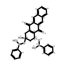 CC(=O)[C@@]1(OB(O)c2ccccc2)CC2=C(C(=O)c3cc4ccccc4cc3C2=O)[C@H](OB(O)c2ccccc2)C1